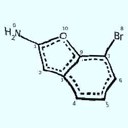 Nc1cc2cccc(Br)c2o1